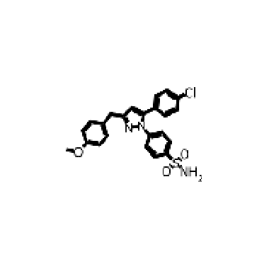 COc1ccc(Cc2cc(-c3ccc(Cl)cc3)n(-c3ccc(S(N)(=O)=O)cc3)n2)cc1